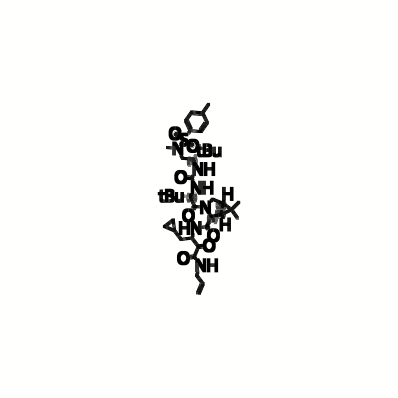 C=CCNC(=O)C(=O)C(CC1CC1)NC(=O)[C@@H]1[C@@H]2[C@H](CN1C(=O)[C@@H](NC(=O)N[C@H](CN(C)S(=O)(=O)c1ccc(C)cc1)C(C)(C)C)C(C)(C)C)C2(C)C